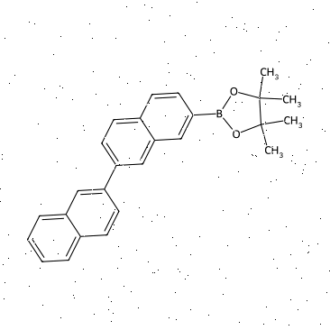 CC1(C)OB(c2ccc3ccc(-c4ccc5ccccc5c4)cc3c2)OC1(C)C